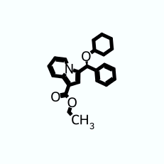 CCOC(=O)c1cc([C@@H](OC2CCCCC2)c2ccccc2)n2ccccc12